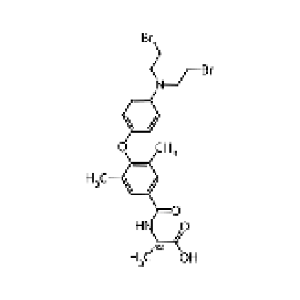 Cc1cc(C(=O)N[C@@H](C)C(=O)O)cc(C)c1Oc1ccc(N(CCBr)CCBr)cc1